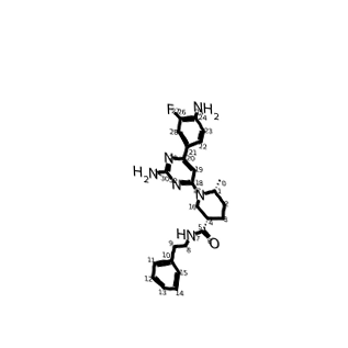 C[C@@H]1CC[C@H](C(=O)NCCc2ccccc2)CN1c1cc(-c2ccc(N)c(F)c2)nc(N)n1